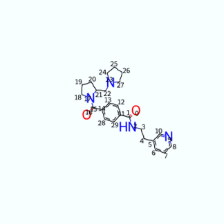 O=C(NCCc1cccnc1)c1ccc(C(=O)N2CCCC2CN2CCCC2)cc1